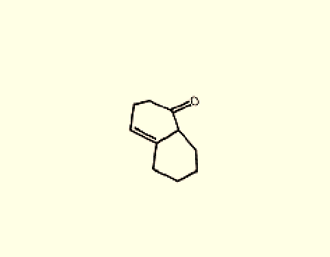 O=C1CCC=C2CCCCC12